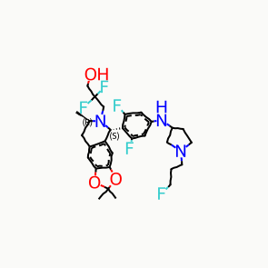 C[C@@H]1Cc2cc3c(cc2[C@@H](c2c(F)cc(NC4CCN(CCCF)C4)cc2F)N1CC(F)(F)CO)OC(C)(C)O3